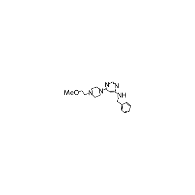 COCCN1CCN(c2cc(NCc3ccccc3)ncn2)CC1